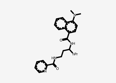 CCCC(CCNC(=O)c1ccccn1)NC(=O)c1ccc(N(C)C)c2ccccc12